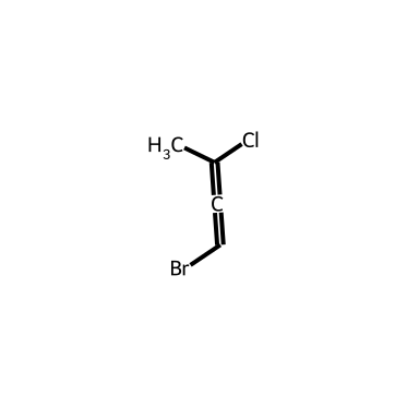 CC(Cl)=C=CBr